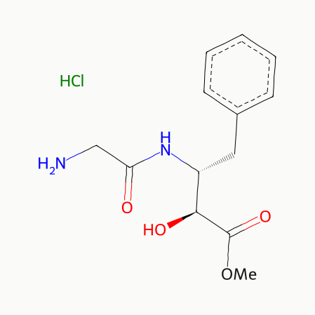 COC(=O)[C@@H](O)[C@@H](Cc1ccccc1)NC(=O)CN.Cl